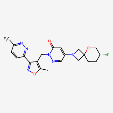 Cc1onc(-c2ccc(C(F)(F)F)nn2)c1Cn1ncc(N2CC3(CC[C@@H](F)CO3)C2)cc1=O